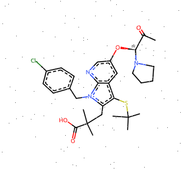 CC(=O)[C@H](Oc1cnc2c(c1)c(SC(C)(C)C)c(CC(C)(C)C(=O)O)n2Cc1ccc(Cl)cc1)N1CCCC1